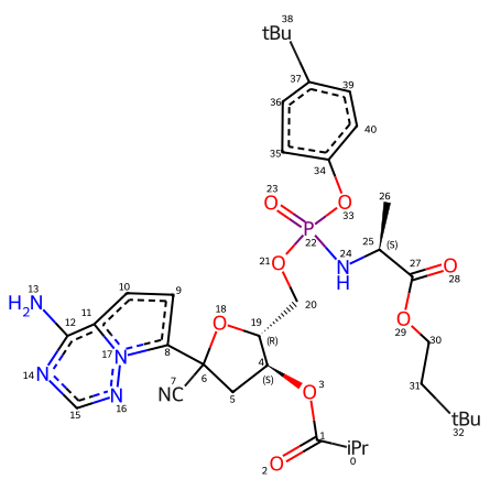 CC(C)C(=O)O[C@H]1CC(C#N)(c2ccc3c(N)ncnn23)O[C@@H]1COP(=O)(N[C@@H](C)C(=O)OCCC(C)(C)C)Oc1ccc(C(C)(C)C)cc1